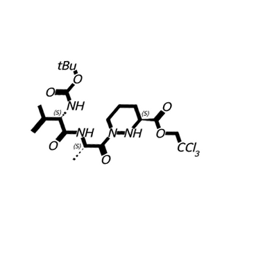 C=C(C)[C@H](NC(=O)OC(C)(C)C)C(=O)N[C@@H](C)C(=O)N1CCC[C@@H](C(=O)OCC(Cl)(Cl)Cl)N1